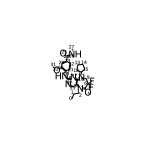 CCCN1C(=O)C(F)(F)CN(C2CCCC2)c2nc(Nc3ccc(C(=O)NC)cc3OC)ncc21